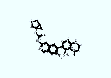 Cc1c(-c2cc3cc(NC(=O)O[C@]45CNCC4C5)ncc3cc2F)cnc2c1NCCO2